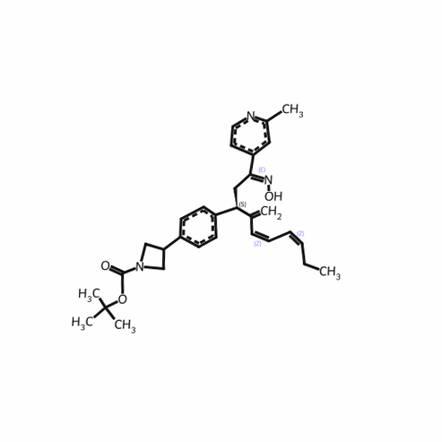 C=C(/C=C\C=C/CC)[C@H](C/C(=N\O)c1ccnc(C)c1)c1ccc(C2CN(C(=O)OC(C)(C)C)C2)cc1